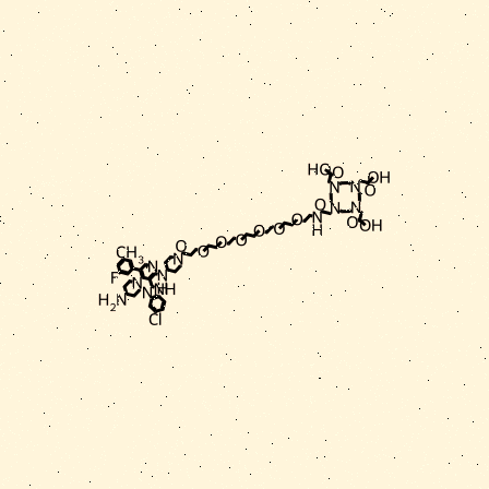 Cc1cc(F)cc(-c2cnc(NC3CCN(C(=O)CCOCCOCCOCCOCCOCCOCCNC(=O)CN4CCN(CC(=O)O)CCN(CC(=O)O)CCN(CC(=O)O)CC4)CC3)c(-c3nc4cc(Cl)ccc4[nH]3)c2N2CCC(N)CC2)c1